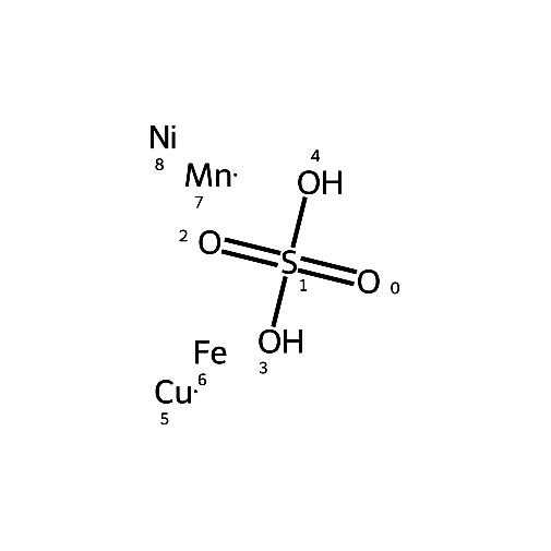 O=S(=O)(O)O.[Cu].[Fe].[Mn].[Ni]